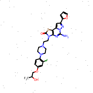 Nc1nc2c(sc(=O)n2CCN2CCN(c3ccc(OCC(O)C(F)(F)F)cc3F)CC2)c2cc(-c3ccco3)nn12